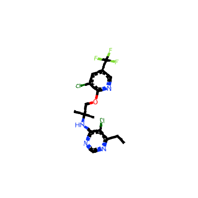 CCc1ncnc(NC(C)(C)COc2ncc(C(F)(F)F)cc2Cl)c1Cl